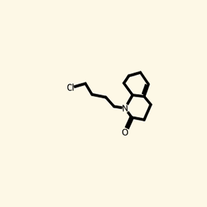 O=C1CCC2=CCCCC2N1CCCCCl